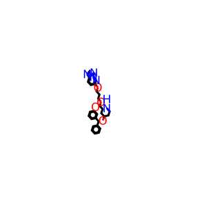 O=C(OCCCOc1ccc2ncnn2n1)C1CC(OC(c2ccccc2)c2ccccc2)CCN1